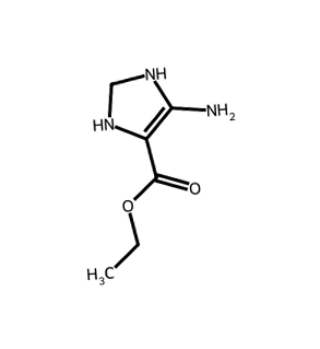 CCOC(=O)C1=C(N)NCN1